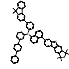 CC1(C)CC(C)(C)c2cc3c(cc21)sc1cc(-c2cccc4c(N(c5cccc(-c6ccc(-c7ccccc7)cc6)c5)c5cccc(-c6ccc7c(c6)-c6ccccc6C7(C)C)c5)cccc24)ccc13